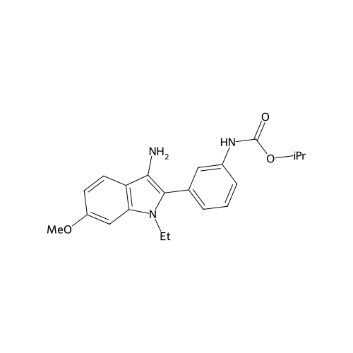 CCn1c(-c2cccc(NC(=O)OC(C)C)c2)c(N)c2ccc(OC)cc21